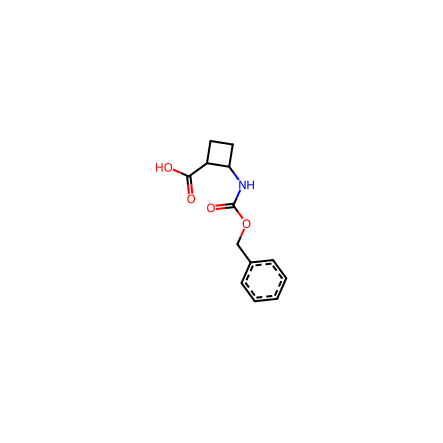 O=C(NC1CCC1C(=O)O)OCc1ccccc1